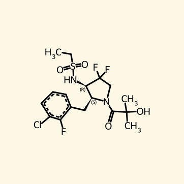 CCS(=O)(=O)N[C@@H]1[C@H](Cc2cccc(Cl)c2F)N(C(=O)C(C)(C)O)CC1(F)F